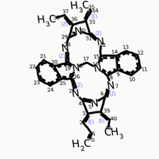 C=C/C=C1C2=NC(=N\c3c4ccccc4c4n3Cn3/c(c5ccccc5/c3=N/2)=N\C2=NC(=N\4)/C(=C/C)C/2=C/C)/C/1=C/C